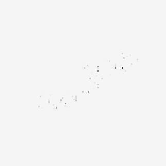 O=C(Nc1cccc(F)c1)ON1CCC2(CC1)CC(C(=O)N1CCN(c3ncccc3Cl)CC1)=NO2